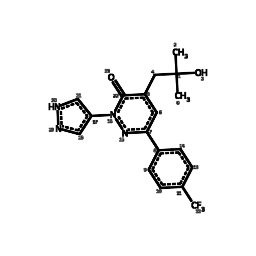 CC(C)(O)Cc1cc(-c2ccc(C(F)(F)F)cc2)nn(-c2cn[nH]c2)c1=O